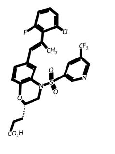 CC(=Cc1ccc2c(c1)N(S(=O)(=O)c1cncc(C(F)(F)F)c1)C[C@H](CCC(=O)O)O2)c1c(F)cccc1Cl